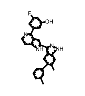 Cc1cccc(-c2cc3c(-c4cc5c(-c6cc(O)cc(F)c6)nccc5[nH]4)n[nH]c3cc2C)c1